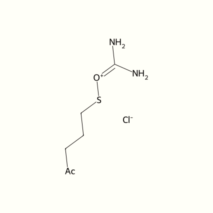 CC(=O)CCCS[O+]=C(N)N.[Cl-]